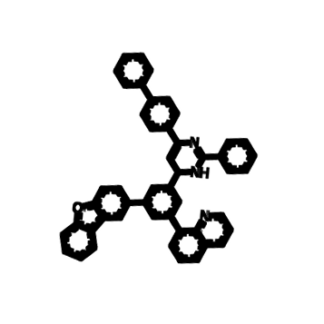 C1=C(c2ccc(-c3ccccc3)cc2)N=C(c2ccccc2)NC1c1cc(-c2ccc3oc4ccccc4c3c2)cc(-c2cccc3cccnc23)c1